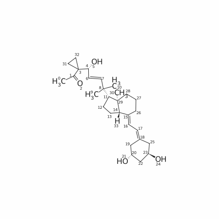 CC(=O)C1([C@H](O)/C=C/C(C)(C)[C@H]2CC[C@H]3/C(=C/C=C4C[C@@H](O)C[C@H](O)C4)CCC[C@]23C)CC1